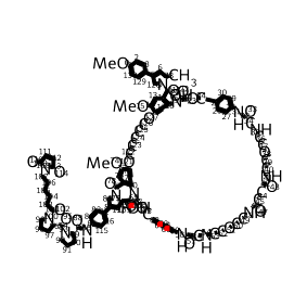 COc1ccc(C2=CC(C)N(C(=O)c3cc(OC)c4cc3N(O)C(=O)OCc3ccc(cc3)NC(=O)CNCCOCCNC(=O)CCC(=O)NCCOCCNCC(=O)Nc3ccc(cc3)COC(=O)N3c5cc(c(OC)cc5C(=O)N5CC(c6ccc(NC(=O)[C@@H]7CCCN7C(=O)[C@@H]7CCCN7C(=O)CCCCCN7C(=O)C=CC7=O)cc6)=C[C@H]5C3O)OCCCCCO4)C2)cc1